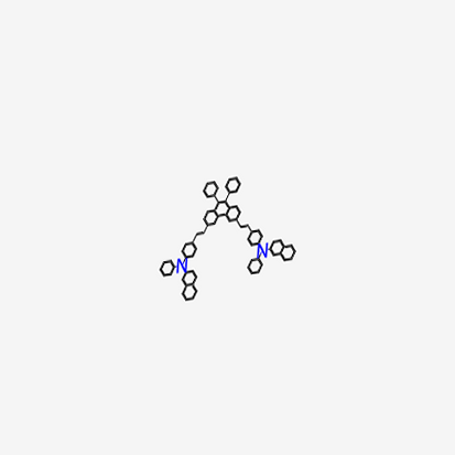 C(=C\c1ccc2c(-c3ccccc3)c(-c3ccccc3)c3ccc(/C=C/c4ccc(N(c5ccccc5)c5ccc6ccccc6c5)cc4)cc3c2c1)/c1ccc(N(c2ccccc2)c2ccc3ccccc3c2)cc1